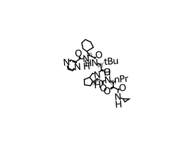 CCC[C@H](NC(=O)[C@H]1[C@H]2CCCC2CN1C(=O)[C@H](NC(=O)[C@H](NC(=O)c1cnccn1)C1CCCCC1)C(C)(C)C)C(=O)C(=O)NC1CC1